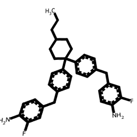 CCCC1CCC(c2ccc(Cc3ccc(N)c(F)c3)cc2)(c2ccc(Cc3ccc(N)c(F)c3)cc2)CC1